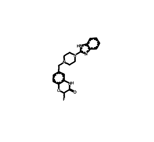 O=C1Nc2cc(CN3CCN(c4nc5ccccc5[nH]4)CC3)ccc2OC1F